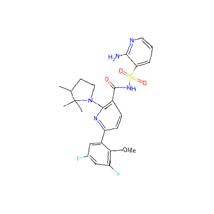 COc1c(F)cc(F)cc1-c1ccc(C(=O)NS(=O)(=O)c2cccnc2N)c(N2CCC(C)C2(C)C)n1